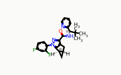 CC(C)(C)[C@H](NC(=O)c1nn(-c2ccc(F)cc2F)c2c1C[C@H]1C[C@@H]21)c1ccccn1